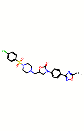 Cc1nc(-c2ccc(N3CC(CN4CCN(S(=O)(=O)c5ccc(Cl)cc5)CC4)OC3=O)cc2)no1